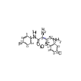 NS/C(=C(\N)C(=O)Nc1ccc(F)cc1)[S+]([O-])c1ccc(Cl)cc1